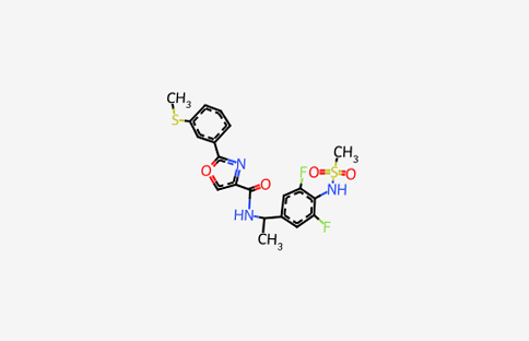 CSc1cccc(-c2nc(C(=O)NC(C)c3cc(F)c(NS(C)(=O)=O)c(F)c3)co2)c1